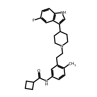 Cc1ccc(NC(=O)C2CCC2)cc1CCN1CCC(c2c[nH]c3ccc(F)cc23)CC1